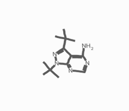 CC(C)(C)c1nn(C(C)(C)C)c2ncnc(N)c12